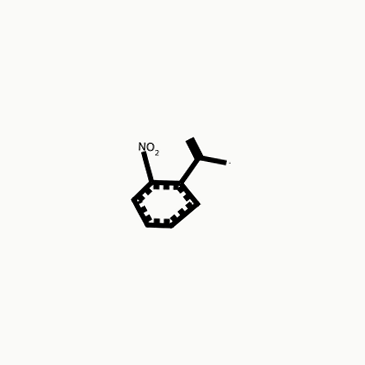 [CH2]C(=C)c1ccccc1[N+](=O)[O-]